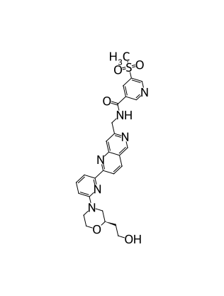 CS(=O)(=O)c1cncc(C(=O)NCc2cc3nc(-c4cccc(N5CCO[C@H](CCO)C5)n4)ccc3cn2)c1